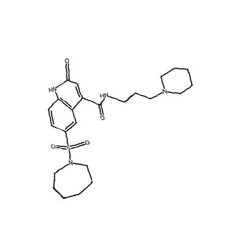 O=C(NCCCN1CCCCC1)c1cc(=O)[nH]c2ccc(S(=O)(=O)N3CCCCCC3)cc12